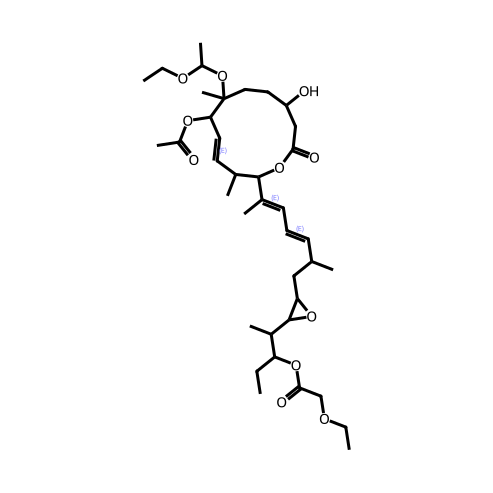 CCOCC(=O)OC(CC)C(C)C1OC1CC(C)/C=C/C=C(\C)C1OC(=O)CC(O)CCC(C)(OC(C)OCC)C(OC(C)=O)/C=C/C1C